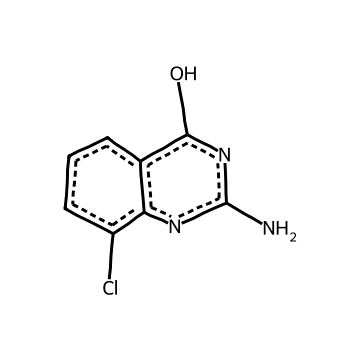 Nc1nc(O)c2cccc(Cl)c2n1